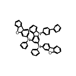 c1ccc(-c2ccc(-n3c4ccccc4c4c(N(c5ccccc5)c5ccc6c(c5)oc5ccccc56)cc(N(c5ccccc5)c5ccc6c(c5)oc5ccccc56)cc43)cc2)cc1